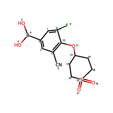 N#Cc1cc(B(O)O)cc(F)c1OC1CCS(=O)(=O)CC1